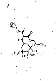 C=CCOC(=O)C(NC1CC(C)(C)N(OC)C(C)(C)C1)C(=O)OCC=C